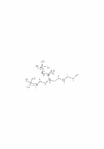 CCCOCCN(CCOC(C)(C)C)C(=O)OC(C)(C)C